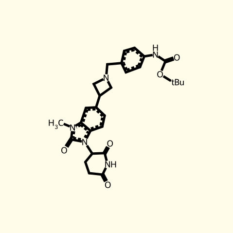 Cn1c(=O)n(C2CCC(=O)NC2=O)c2ccc(C3CN(Cc4ccc(NC(=O)OC(C)(C)C)cc4)C3)cc21